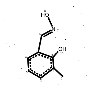 Cc1cccc(C=NO)c1O